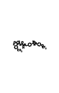 Cc1ccc(F)c(N2C(=O)CS/C2=N\C(=O)N/N=C/c2ccc(-c3ncn(-c4ccc(OC(F)(F)F)cc4)n3)cc2)c1